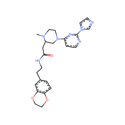 CN1CCN(c2ccnc(-n3ccnc3)n2)CC1CC(=O)NCCc1ccc2c(c1)OCCO2